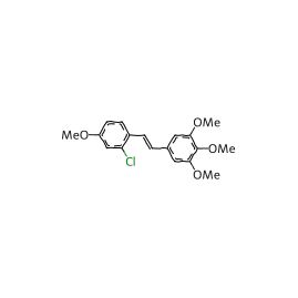 COc1ccc(C=Cc2cc(OC)c(OC)c(OC)c2)c(Cl)c1